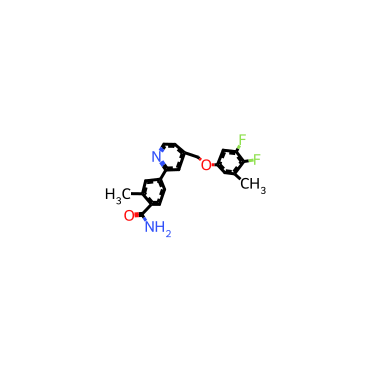 Cc1cc(-c2cc(COc3cc(C)c(F)c(F)c3)ccn2)ccc1C(N)=O